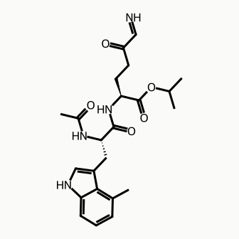 CC(=O)N[C@@H](Cc1c[nH]c2cccc(C)c12)C(=O)N[C@@H](CCC(=O)C=N)C(=O)OC(C)C